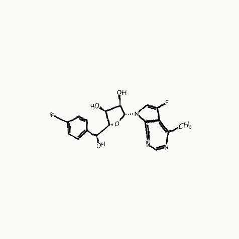 Cc1ncnc2c1c(F)cn2[C@@H]1O[C@H]([C@@H](O)c2ccc(F)cc2)[C@@H](O)[C@H]1O